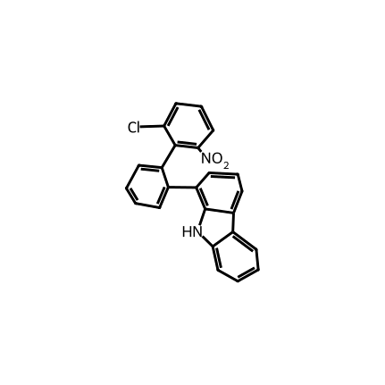 O=[N+]([O-])c1cccc(Cl)c1-c1ccccc1-c1cccc2c1[nH]c1ccccc12